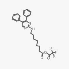 O=C(CCCCCCCNc1ncc(-c2ccccc2)c(-c2ccccc2)n1)OC(=O)C(F)(F)F